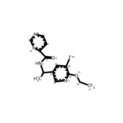 CC(NC(=O)c1ccncn1)c1cnc(OCC(F)(F)F)c(F)c1